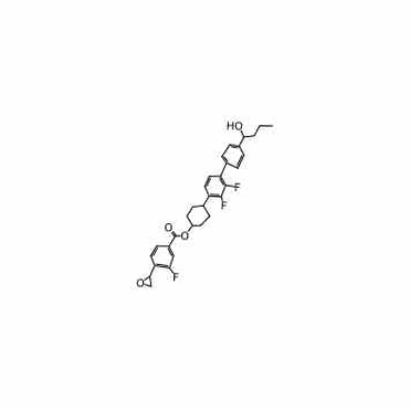 CCCC(O)c1ccc(-c2ccc(C3CCC(OC(=O)c4ccc(C5CO5)c(F)c4)CC3)c(F)c2F)cc1